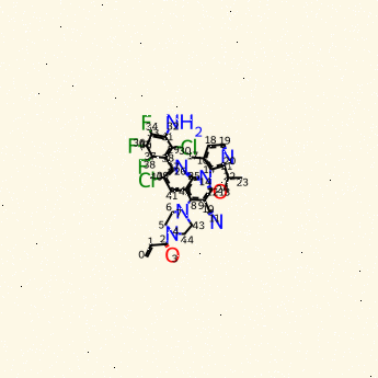 C=CC(=O)N1CCN(c2c(C#N)c(=O)n(-c3c(C)ccnc3C(C)C)c3nc(C4=C(Cl)C(N)=C(F)[C@H](F)C4F)c(Cl)cc23)CC1